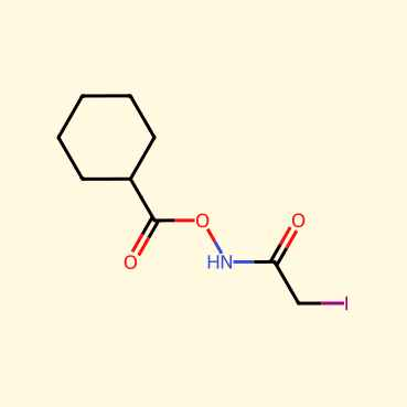 O=C(CI)NOC(=O)C1CCCCC1